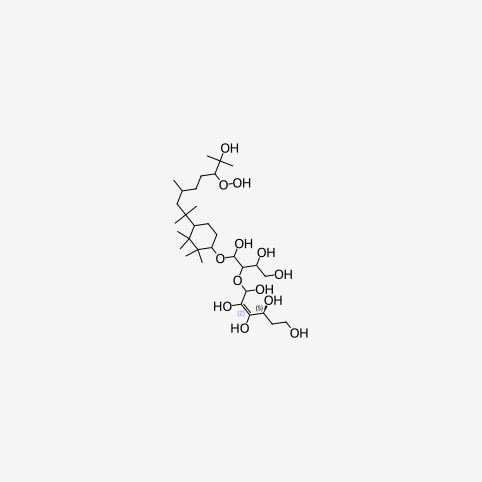 CC(CCC(OO)C(C)(C)O)CC(C)(C)C1CCC(OC(O)C(OC(O)/C(O)=C(/O)[C@@H](O)CCO)C(O)CO)C(C)(C)C1(C)C